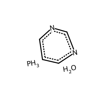 O.P.c1cncnc1